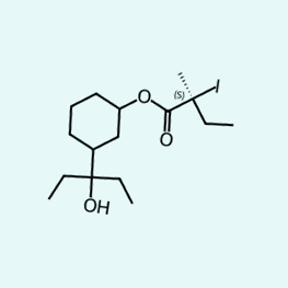 CCC(O)(CC)C1CCCC(OC(=O)[C@@](C)(I)CC)C1